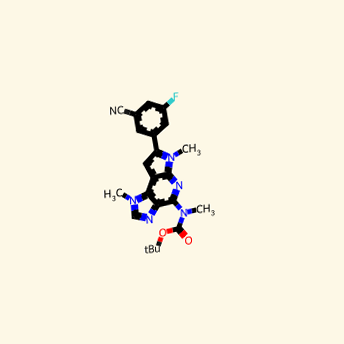 CN(C(=O)OC(C)(C)C)c1nc2c(cc(-c3cc(F)cc(C#N)c3)n2C)c2c1ncn2C